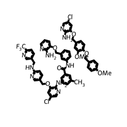 COc1ccc(COc2ccc(COc3cc(Cl)cnc3N)cc2OC)cc1.Cc1cccc(C(=O)Nc2cccc(COc3cccnc3N)c2)c1.Nc1ncc(Cl)cc1OCc1ccc(NCc2ccc(C(F)(F)F)nc2)nc1